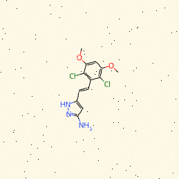 COc1cc(OC)c(Cl)c(/C=C/c2cc(N)n[nH]2)c1Cl